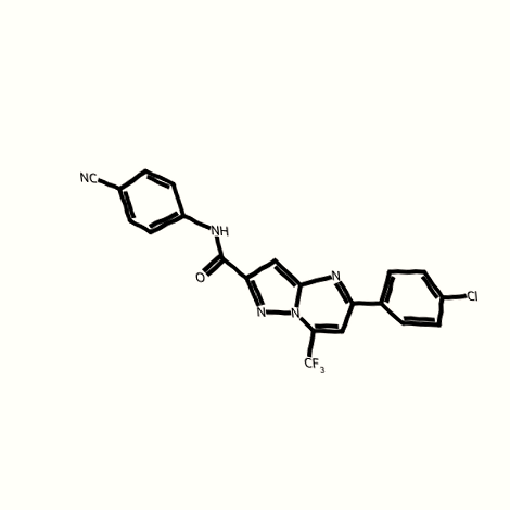 N#Cc1ccc(NC(=O)c2cc3nc(-c4ccc(Cl)cc4)cc(C(F)(F)F)n3n2)cc1